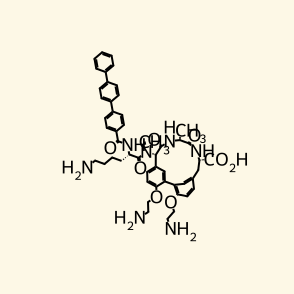 C[C@@H]1NC(=O)[C@@H](N(C)C(=O)[C@H](CCCCN)NC(=O)c2ccc(-c3ccc(-c4ccccc4)cc3)cc2)c2ccc(OCCN)c(c2)-c2cc(ccc2OCCN)C[C@@H](C(=O)O)NC1=O